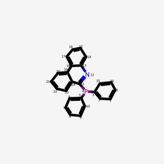 c1ccc(P(c2ccccc2)c2nc3ccccc3c3ccccc23)cc1